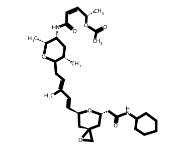 CC(=O)O[C@@H](C)/C=C\C(=O)N[C@@H]1C[C@H](C)C(C/C=C(C)/C=C/[C@@H]2C[C@]3(CO3)C[C@@H](CC(=O)NC3CCCCC3)O2)O[C@@H]1C